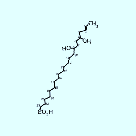 CC=CCC(O)CCC(O)CCCCCCCCCCCCCCC(=O)O